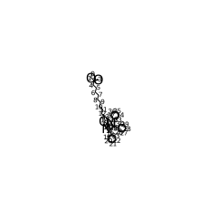 COC(=O)CCCCCCCCCCOc1nc(-c2ccccc2)c(-c2ccccc2)n1-c1ccccc1